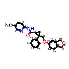 N#Cc1ccc(NC(=O)C2CC2(COc2ccc3c(c2)COC3)c2ccccc2)nc1